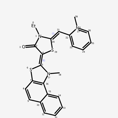 CCn1c(=O)/c(=C2\Sc3ccc4ccccc4c3N2C)s/c1=C\c1cccc[n+]1C